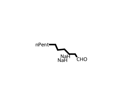 CCCCCCCCCCC=O.[NaH].[NaH]